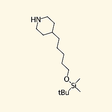 CC(C)(C)[Si](C)(C)OCCCCCC1CCNCC1